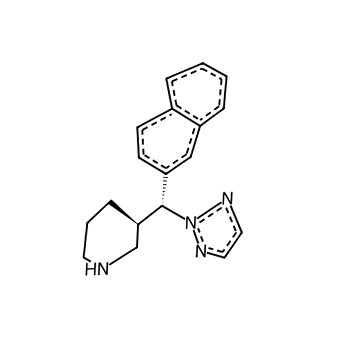 c1ccc2cc([C@@H]([C@@H]3CCCNC3)n3nccn3)ccc2c1